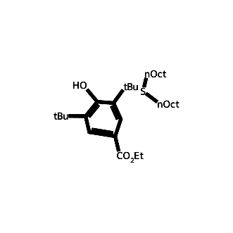 CCCCCCCCSCCCCCCCC.CCOC(=O)c1cc(C(C)(C)C)c(O)c(C(C)(C)C)c1